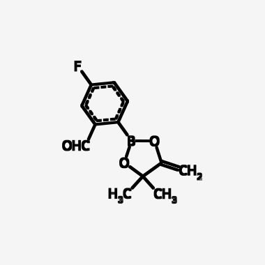 C=C1OB(c2ccc(F)cc2C=O)OC1(C)C